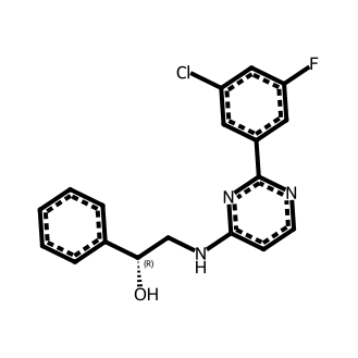 O[C@@H](CNc1ccnc(-c2cc(F)cc(Cl)c2)n1)c1ccccc1